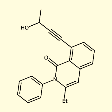 CCc1cc2cccc(C#CC(C)O)c2c(=O)n1-c1ccccc1